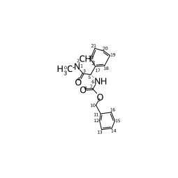 CN(C)C(=O)[C@@H](NC(=O)OCc1ccccc1)c1ccccc1